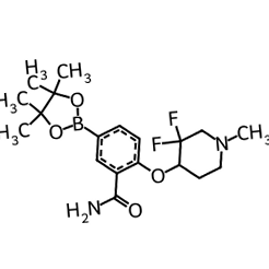 CN1CCC(Oc2ccc(B3OC(C)(C)C(C)(C)O3)cc2C(N)=O)C(F)(F)C1